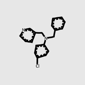 Clc1ccc(N(Cc2ccccc2)Cc2cccnc2)cc1